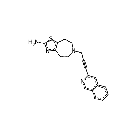 Nc1nc2c(s1)CCN(CC#Cc1cc3ccccc3cn1)CC2